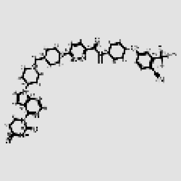 N#Cc1ccc(O[C@H]2CC[C@H](NC(=O)c3ccc(N4CCC(CN5CCC(n6ccc7c(N8CCC(=O)NC8=O)nccc76)CC5)CC4)nn3)CC2)cc1C(F)(F)F